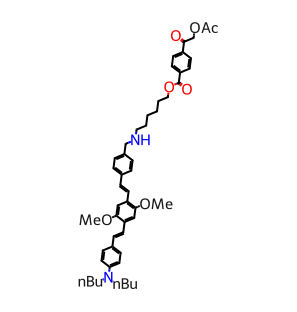 CCCCN(CCCC)c1ccc(C=Cc2cc(OC)c(C=Cc3ccc(CNCCCCCCOC(=O)c4ccc(C(=O)COC(C)=O)cc4)cc3)cc2OC)cc1